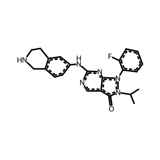 CC(C)n1c(=O)c2cnc(Nc3ccc4c(c3)CCNC4)nc2n1-c1ccccc1F